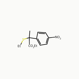 CCOC(=O)C(C)(SCC)c1ccc([N+](=O)[O-])cc1